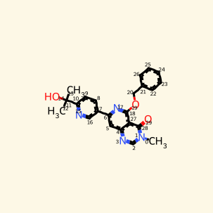 Cn1cnc2cc(-c3ccc(C(C)(C)O)nc3)nc(OCc3ccccc3)c2c1=O